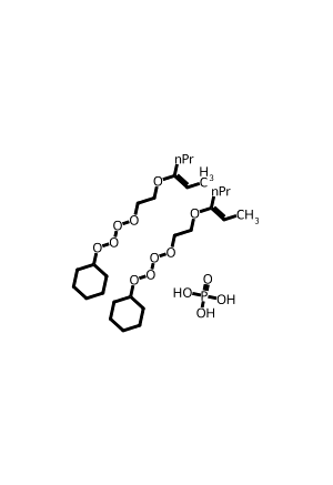 CC=C(CCC)OCCOOOOC1CCCCC1.CC=C(CCC)OCCOOOOC1CCCCC1.O=P(O)(O)O